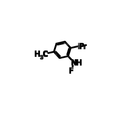 Cc1ccc(C(C)C)c(NF)c1